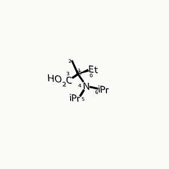 CC[C@](C)(C(=O)O)N(C(C)C)C(C)C